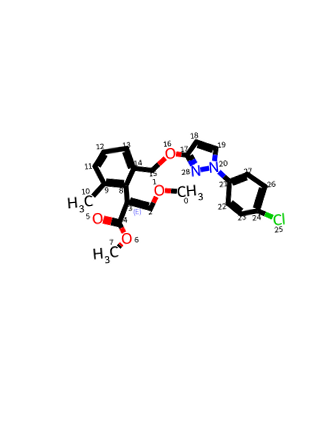 CO/C=C(/C(=O)OC)c1c(C)cccc1COc1ccn(-c2ccc(Cl)cc2)n1